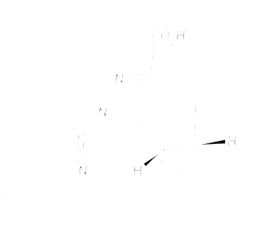 O=C(O)c1nn(-c2ccc(Br)cn2)c2c1C[C@@H]1C[C@H]21